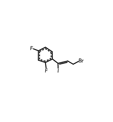 Fc1ccc(/C(I)=C/CBr)c(F)c1